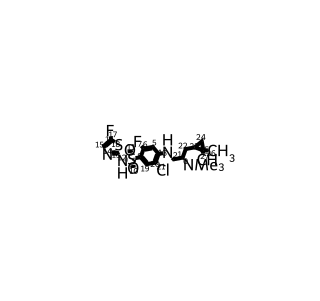 CN[C@H](CNc1cc(F)c(S(=O)(=O)Nc2ncc(F)s2)cc1Cl)CC1CC1(C)C